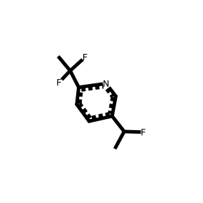 CC(F)c1ccc(C(C)(F)F)nc1